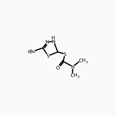 CN(C)C(=O)SC1NN=C(C(C)(C)C)S1